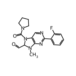 CN1c2nc(-c3ccccc3F)ncc2N(C(=O)N2CCCC2)C1C=O